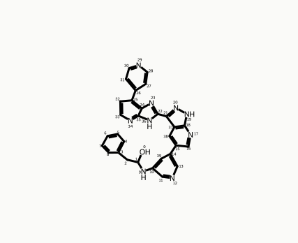 OC(Cc1ccccc1)Nc1cncc(-c2cnc3[nH]nc(-c4nc5c(-c6ccncc6)ccnc5[nH]4)c3c2)c1